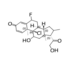 CC1C[C@H]2[C@@H]3CC(F)C4=CC(=O)C=C[C@]4(C)[C@@]3(Cl)C(O)C[C@]2(C)[C@H]1C(=O)CO